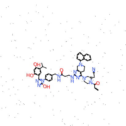 C=CC(=O)N1CCN(c2nc(NCCC(=O)NCc3ccc(-n4c(O)nnc4-c4cc(C(C)C)c(O)cc4O)cc3)nc3c2CCN(c2cccc4ccccc24)C3)C[C@H]1CC#N